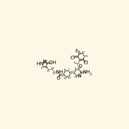 CC(Oc1cc(-c2ccc(C(=O)NCCCc3c[nH]nc3O)cc2)cnc1N)c1c(Cl)ccc(F)c1Cl